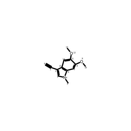 C#Cc1cn(C)c2cc(OC)c(OC)cc12